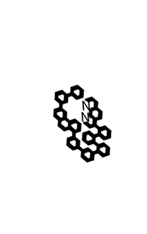 c1ccc(-c2cccc(-c3ccc4ccc5c(-c6cccc(-c7cccc(-c8ccccc8-c8ccccc8-c8ccccc8-c8ccnc9c8ccc8cccnc89)c7)c6)cccc5c4c3)c2)cc1